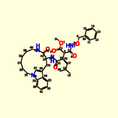 COC(=O)C(C(=O)NOCc1ccccc1)[C@@H](CC(C)C)C(=O)NC1Cc2cn(c3ccccc23)CCCCCCNC1=O